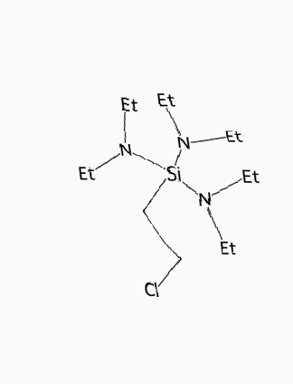 CCN(CC)[Si](CCCl)(N(CC)CC)N(CC)CC